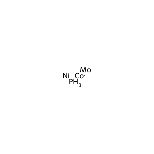 P.[Co].[Mo].[Ni]